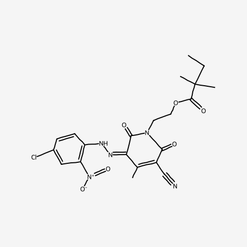 CCC(C)(C)C(=O)OCCN1C(=O)C(C#N)=C(C)/C(=N/Nc2ccc(Cl)cc2[N+](=O)[O-])C1=O